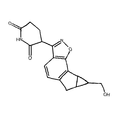 O=C1CCC(c2noc3c4c(ccc23)CC2C(CO)C42)C(=O)N1